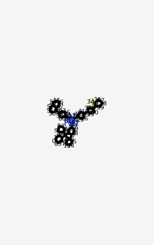 c1ccc(C2(c3ccccc3)c3ccccc3-c3ccc(-c4nc(-c5ccc(-c6ccc7c(c6)sc6ccccc67)cc5)nc(-c5ccc(-c6cccc7ccccc67)cc5)n4)cc32)cc1